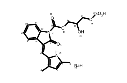 Cc1cc(C)c(/C=C2\C(=O)N(C(=O)OCC(O)COS(=O)(=O)O)c3ccccc32)[nH]1.[NaH]